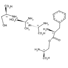 CC(C)[C@H](N)C(=O)O.C[C@H](N)C(=O)O.N[C@@H](CO)C(=O)O.N[C@@H](COC(=O)[C@@H](N)Cc1ccccc1)C(=O)O